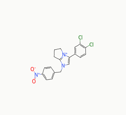 O=[N+]([O-])c1ccc(Cn2cc(-c3ccc(Cl)c(Cl)c3)[n+]3c2CCC3)cc1